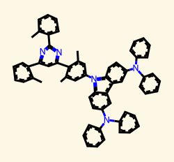 Cc1ccccc1-c1cc(-c2c(C)cc(-n3c4ccc(N(c5ccccc5)c5ccccc5)cc4c4cc(N(c5ccccc5)c5ccccc5)ccc43)cc2C)nc(-c2ccccc2C)n1